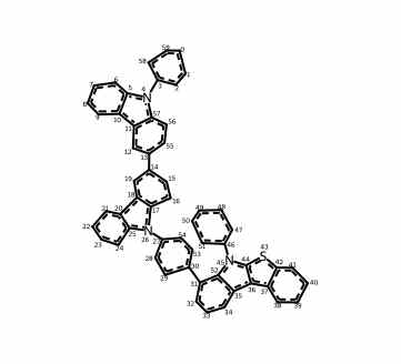 c1ccc(-n2c3ccccc3c3cc(-c4ccc5c(c4)c4ccccc4n5-c4ccc(-c5cccc6c7c8ccccc8sc7n(-c7ccccc7)c56)cc4)ccc32)cc1